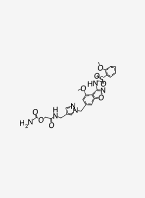 COc1ccccc1S(=O)(=O)Nc1noc2cc(Cn3cc(CNC(=O)COC(N)=O)cn3)cc(OC)c12